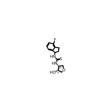 O[C@@H]1COC[C@@H]1NC(=S)NC1CCc2c(F)cccc21